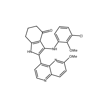 COc1ccc2nccc(-c3[nH]c4c(c3Nc3cccc(Cl)c3OC)C(=O)CCC4)c2n1